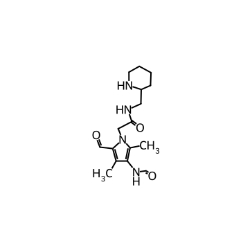 Cc1c(NC=O)c(C)n(CC(=O)NCC2CCCCN2)c1C=O